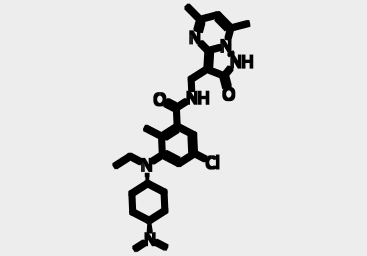 CCN(c1cc(Cl)cc(C(=O)NCc2c(=O)[nH]n3c(C)cc(C)nc23)c1C)[C@H]1CC[C@H](N(C)C)CC1